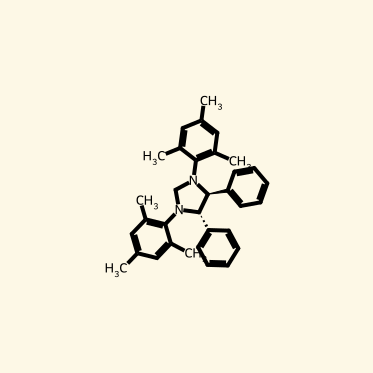 Cc1cc(C)c(N2CN(c3c(C)cc(C)cc3C)[C@@H](c3ccccc3)[C@@H]2c2ccccc2)c(C)c1